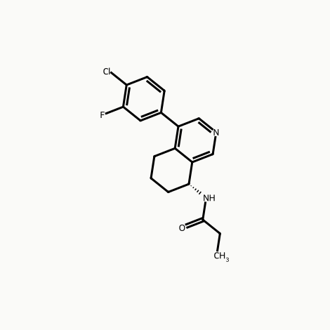 CCC(=O)N[C@@H]1CCCc2c(-c3ccc(Cl)c(F)c3)cncc21